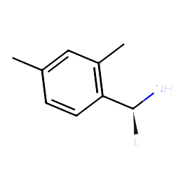 CC[C@H](N)c1ccc(C)cc1C